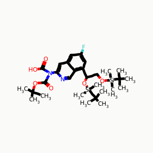 CC(C)(C)OC(=O)N(C(=O)O)c1cc2cc(F)cc(C(CO[Si](C)(C)C(C)(C)C)O[Si](C)(C)C(C)(C)C)c2cn1